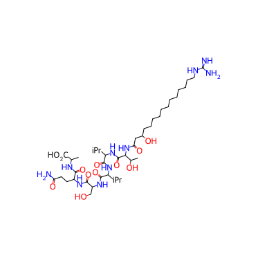 CC(NC(=O)C(CCC(N)=O)NC(=O)C(CO)NC(=O)C(NC(=O)C(NC(=O)C(NC(=O)CC(O)CCCCCCCCCCCCNC(=N)N)C(C)O)C(C)C)C(C)C)C(=O)O